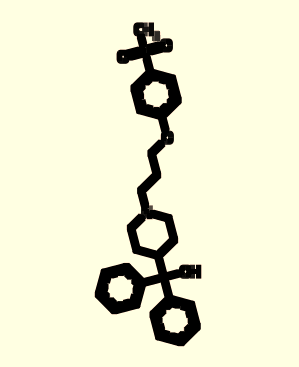 CS(=O)(=O)c1ccc(OCCCN2CCC(C(O)(c3ccccc3)c3ccccc3)CC2)cc1